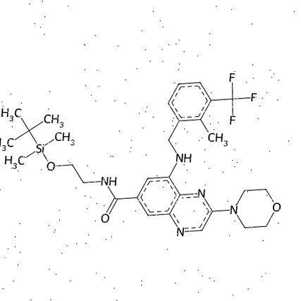 Cc1c(CNc2cc(C(=O)NCCO[Si](C)(C)C(C)(C)C)cc3ncc(N4CCOCC4)nc23)cccc1C(F)(F)F